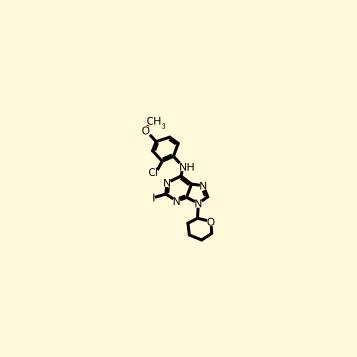 COc1ccc(Nc2nc(I)nc3c2ncn3C2CCCCO2)c(Cl)c1